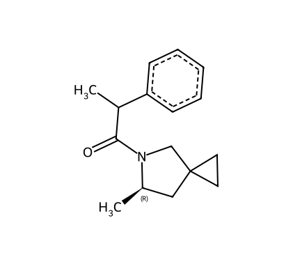 CC(C(=O)N1CC2(CC2)C[C@H]1C)c1ccccc1